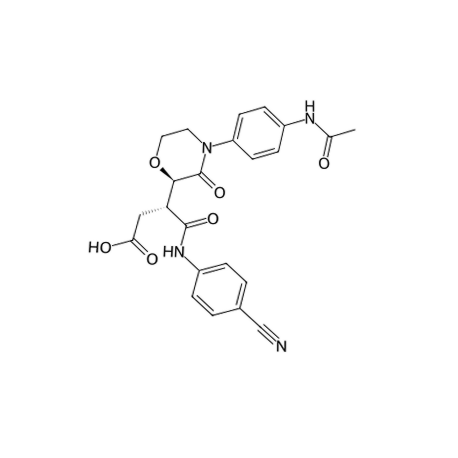 CC(=O)Nc1ccc(N2CCO[C@H]([C@@H](CC(=O)O)C(=O)Nc3ccc(C#N)cc3)C2=O)cc1